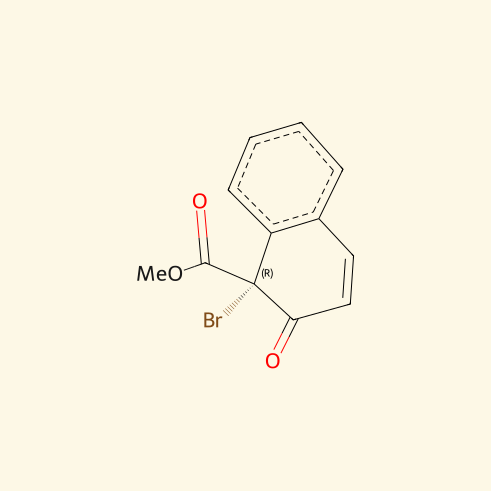 COC(=O)[C@]1(Br)C(=O)C=Cc2ccccc21